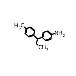 CCC(c1ccc(C)cc1)c1ccc(N)cc1